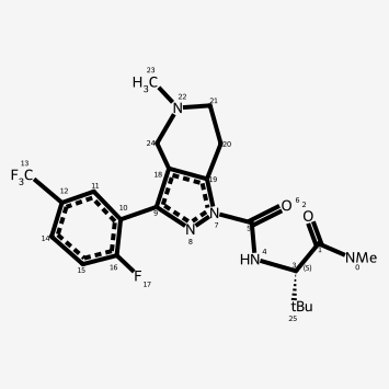 CNC(=O)[C@@H](NC(=O)n1nc(-c2cc(C(F)(F)F)ccc2F)c2c1CCN(C)C2)C(C)(C)C